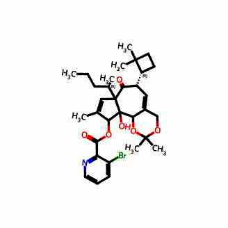 CCC[C@@H](C)C12C=C(C)C(OC(=O)c3ncccc3Br)C1(O)C1OC(C)(C)OCC1=CC([C@H]1CCC1(C)C)C2=O